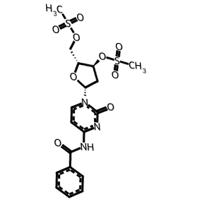 CS(=O)(=O)OC[C@H]1O[C@@H](n2ccc(NC(=O)c3ccccc3)nc2=O)C[C@@H]1OS(C)(=O)=O